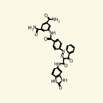 NC(=O)c1cc(NC(=O)c2ccc(N=NC(C(=O)Nc3ccc4[nH]c(=O)[nH]c4c3)C(=O)c3ccccc3)cc2)cc(C(N)=O)c1